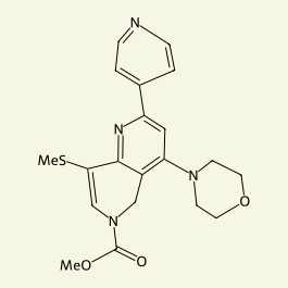 COC(=O)N1C=C(SC)c2nc(-c3ccncc3)cc(N3CCOCC3)c2C1